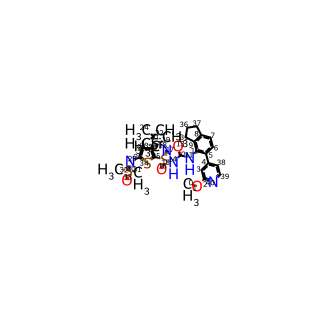 COc1cc(-c2ccc3c(c2NC(=O)NS(=O)(=N[Si](C)(C)C(C)(C)C)c2ccc(N=S(C)(C)=O)s2)CCC3)ccn1